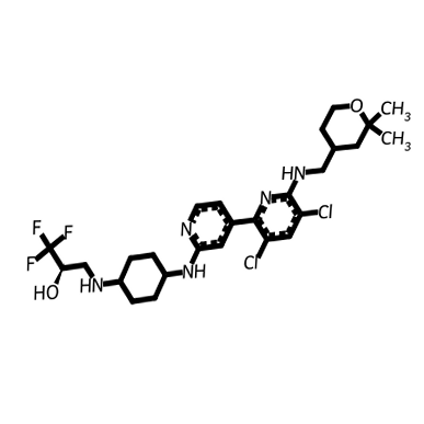 CC1(C)CC(CNc2nc(-c3ccnc(NC4CCC(NC[C@@H](O)C(F)(F)F)CC4)c3)c(Cl)cc2Cl)CCO1